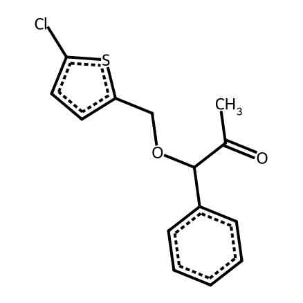 CC(=O)C(OCc1ccc(Cl)s1)c1ccccc1